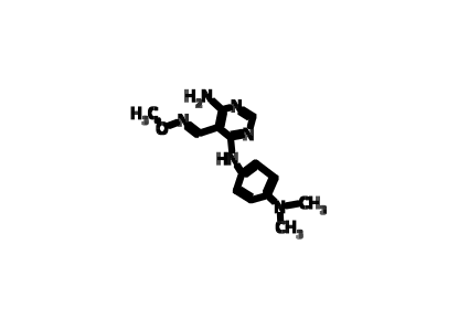 CON=Cc1c(N)ncnc1Nc1ccc(N(C)C)cc1